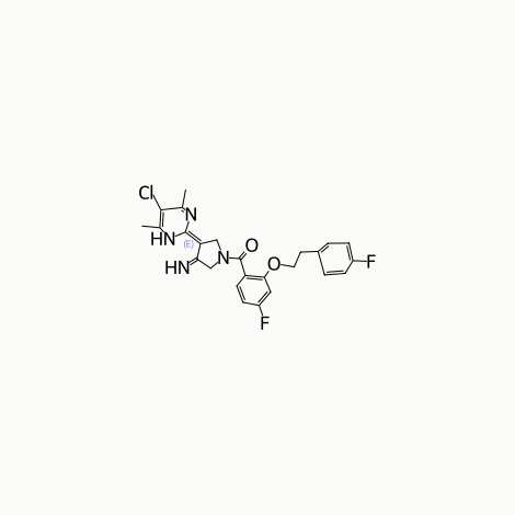 CC1=N/C(=C2\CN(C(=O)c3ccc(F)cc3OCCc3ccc(F)cc3)CC2=N)NC(C)=C1Cl